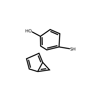 Oc1ccc(S)cc1.c1cc2cc-2c1